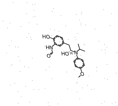 COc1ccc(N(C(C)C)[C@H](O)Cc2ccc(O)c(NC=O)c2)cc1